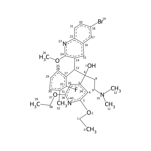 CCOc1cc(C(O)(CCN(C)C)C(c2cc3cc(Br)ccc3nc2OC)c2cccc(C)c2F)cc(OCC)n1